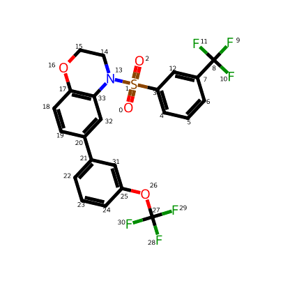 O=S(=O)(c1cccc(C(F)(F)F)c1)N1CCOc2ccc(-c3cccc(OC(F)(F)F)c3)cc21